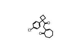 O=C1CCCCC=C1CC(=O)C1(c2ccc(Cl)cc2)CCC1